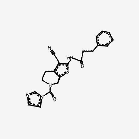 N#Cc1c(NC(=O)CCc2ccccc2)sc2c1CCN(C(=O)n1ccnc1)C2